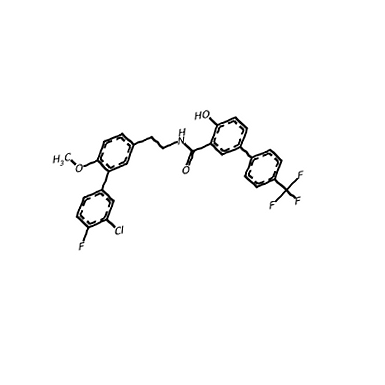 COc1ccc(CCNC(=O)c2cc(-c3ccc(C(F)(F)F)cc3)ccc2O)cc1-c1ccc(F)c(Cl)c1